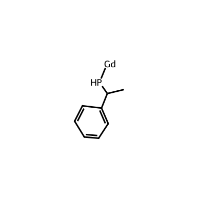 CC([PH][Gd])c1ccccc1